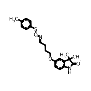 Cc1ccc(SON=CCCCOc2ccc3c(c2)C(C)(C)C(=O)N3)cc1